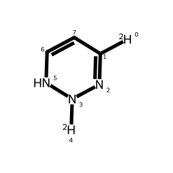 [2H]C1=NN([2H])NC=C1